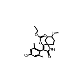 CCOC(=O)OC1=C(c2c(C)cc(Cl)cc2I)C(=O)NC12CCC(OC)CC2